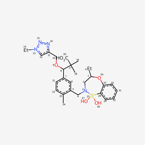 CCC1CN(Cc2cc(C(OCc3cn(CC)nn3)C(C)(C)C(=O)O)ccc2C)S(O)(O)c2ccccc2O1